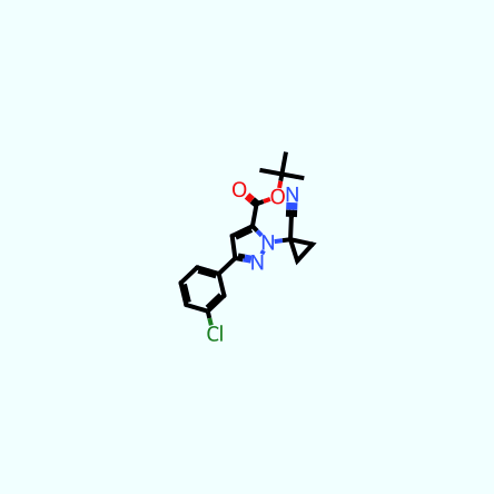 CC(C)(C)OC(=O)c1cc(-c2cccc(Cl)c2)nn1C1(C#N)CC1